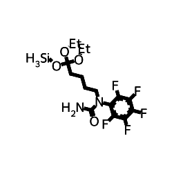 CCOC(CCCCN(C(N)=O)c1c(F)c(F)c(F)c(F)c1F)(O[SiH3])OCC